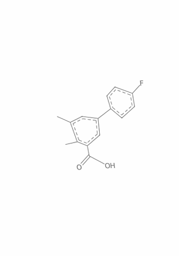 Cc1cc(-c2ccc(F)cc2)cc(C(=O)O)c1C